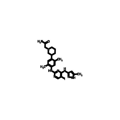 Cc1cc(Nc2nc(Nc3cc(C)c(C4CCCN(CC(N)=O)C4)cc3C)ncc2I)n[nH]1